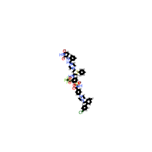 CC1(C)CCC(c2ccc(Cl)cc2)=C(CN2CCN(c3ccc(C(=O)NS(=O)(=O)c4ccc(N[C@H](CCN5CCN(Cc6ccccc6NC6CCC(=O)NC6=O)CC5)CSc5ccccc5)c(S(=O)(=O)C(F)(F)F)c4)cc3)CC2)C1